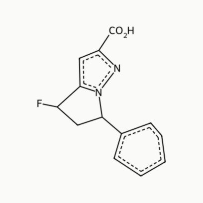 O=C(O)c1cc2n(n1)C(c1ccccc1)CC2F